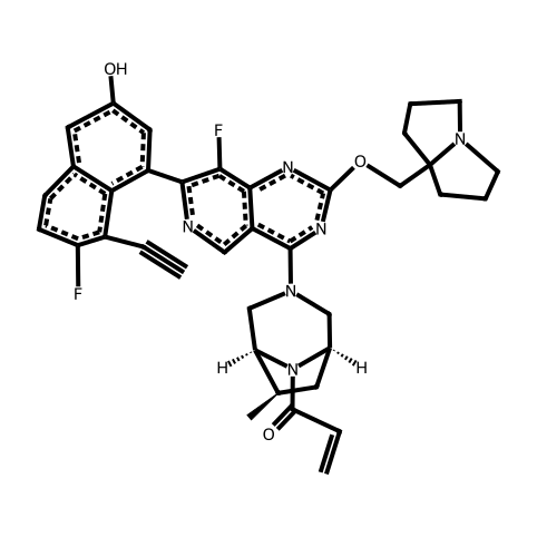 C#Cc1c(F)ccc2cc(O)cc(-c3ncc4c(N5C[C@H]6C[C@@H](C)[C@@H](C5)N6C(=O)C=C)nc(OCC56CCCN5CCC6)nc4c3F)c12